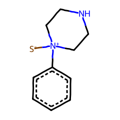 [S-][N+]1(c2ccccc2)CCNCC1